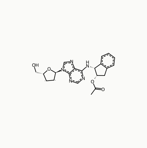 CC(=O)O[C@H]1Cc2ccccc2[C@H]1Nc1ncnc2c1ncn2[C@H]1[CH][CH][C@H](CO)O1